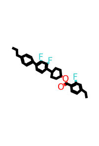 CCCc1ccc(-c2ccc(C3CCC(OC(=O)c4ccc(CC)cc4F)CC3)c(F)c2F)cc1